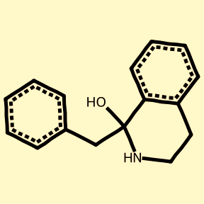 OC1(Cc2ccccc2)NCCc2ccccc21